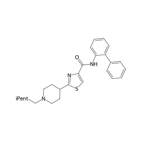 CCCC(C)CN1CCC(c2nc(C(=O)Nc3ccccc3-c3ccccc3)cs2)CC1